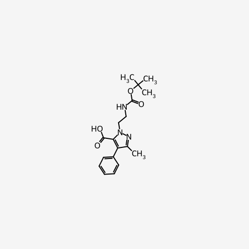 Cc1nn(CCNC(=O)OC(C)(C)C)c(C(=O)O)c1-c1ccccc1